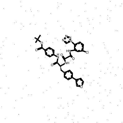 CC(C)(C)OC(=O)c1ccc(NC(=O)[C@H](Cc2ccc(-c3ccoc3)cc2)NC(=O)C(=O)Nc2cc(Cl)ccc2-n2cnnn2)cc1